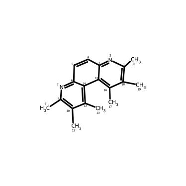 Cc1nc2ccc3nc(C)c(C)c(C)c3c2c(C)c1C